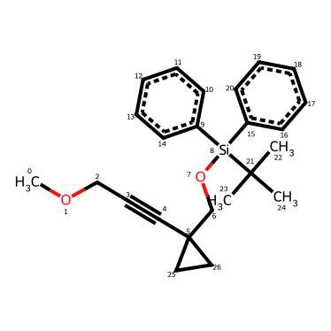 COCC#CC1(CO[Si](c2ccccc2)(c2ccccc2)C(C)(C)C)CC1